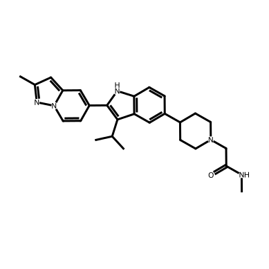 CNC(=O)CN1CCC(c2ccc3[nH]c(-c4ccn5nc(C)cc5c4)c(C(C)C)c3c2)CC1